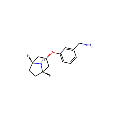 CN1[C@@H]2CC[C@H]1C[C@H](Oc1cccc(CN)c1)C2